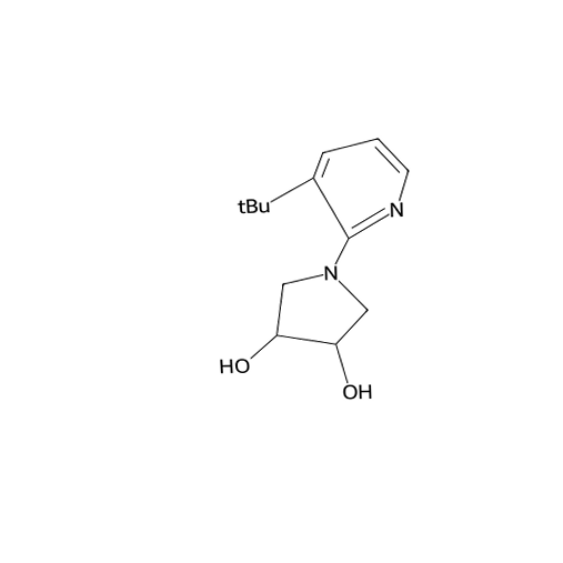 CC(C)(C)c1cccnc1N1CC(O)C(O)C1